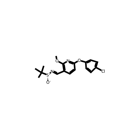 COc1nc(Oc2ccc(Cl)cc2)ccc1/C=N/[S@+]([O-])C(C)(C)C